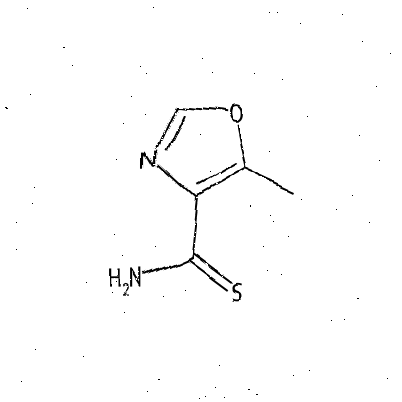 Cc1ocnc1C(N)=S